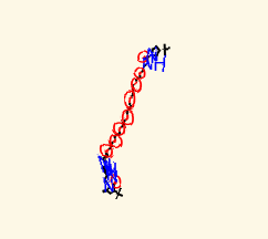 C=C1CC(C(C)(C)C)C(=O)N1Cc1cn(CCOCCOCCOCCOCCOCCOCCOCCNC(=O)N2CC[C@H](C(C)(C)C)C2)nn1